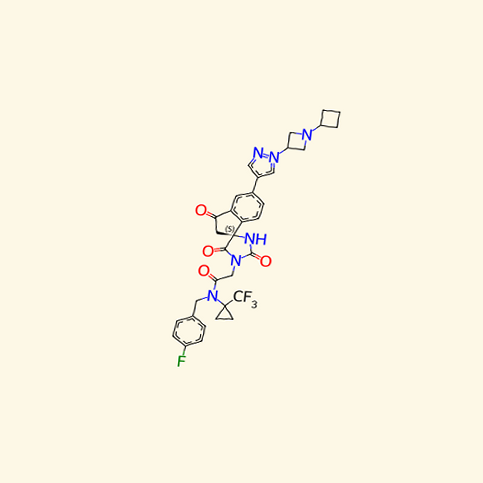 O=C1C[C@]2(NC(=O)N(CC(=O)N(Cc3ccc(F)cc3)C3(C(F)(F)F)CC3)C2=O)c2ccc(-c3cnn(C4CN(C5CCC5)C4)c3)cc21